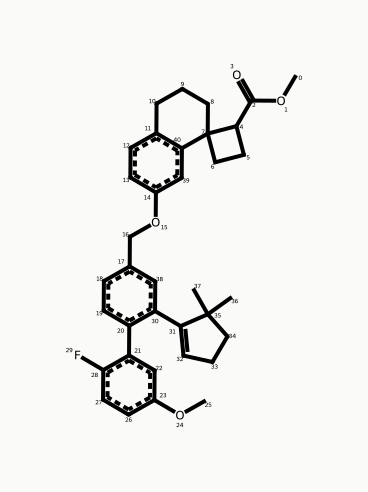 COC(=O)C1CCC12CCCc1ccc(OCc3ccc(-c4cc(OC)ccc4F)c(C4=CCCC4(C)C)c3)cc12